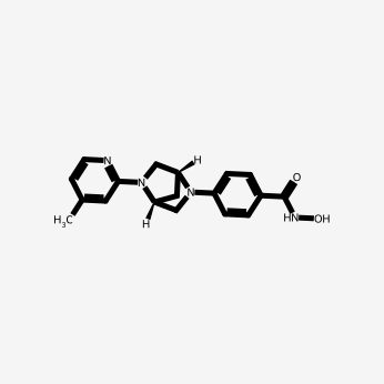 Cc1ccnc(N2C[C@H]3C[C@@H]2CN3c2ccc(C(=O)NO)cc2)c1